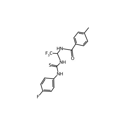 Cc1ccc(C(=O)NC(NC(=S)Nc2ccc(F)cc2)C(F)(F)F)cc1